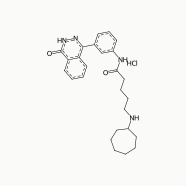 Cl.O=C(CCCCNC1CCCCCC1)Nc1cccc(-c2n[nH]c(=O)c3ccccc23)c1